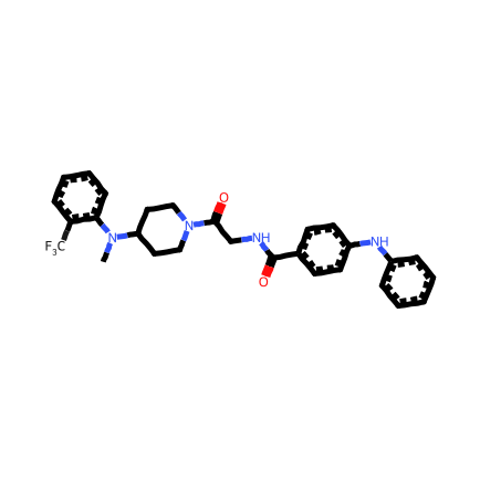 CN(c1ccccc1C(F)(F)F)C1CCN(C(=O)CNC(=O)c2ccc(Nc3ccccc3)cc2)CC1